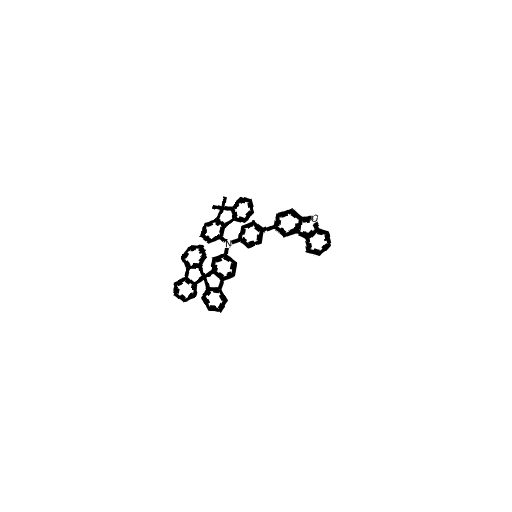 CC1(C)c2ccccc2-c2c(N(c3ccc(-c4ccc5oc6ccccc6c5c4)cc3)c3ccc4c(c3)C3(c5ccccc5-c5ccccc53)c3ccccc3-4)cccc21